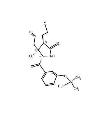 C[C@@]1(OC=O)[C@@H](C(=O)c2cccc(O[Si](C)(C)C)c2)NC(=O)[C@@H]1CCCl